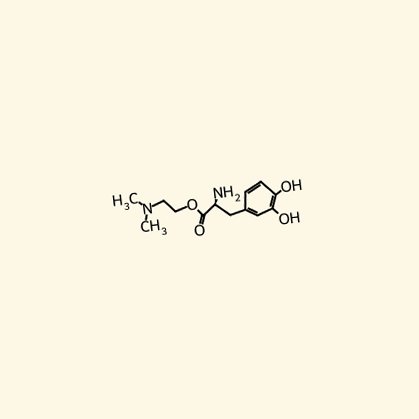 CN(C)CCOC(=O)[C@@H](N)Cc1ccc(O)c(O)c1